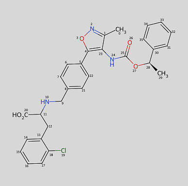 Cc1noc(-c2ccc(CNC(Cc3ccccc3Cl)C(=O)O)cc2)c1NC(=O)O[C@H](C)c1ccccc1